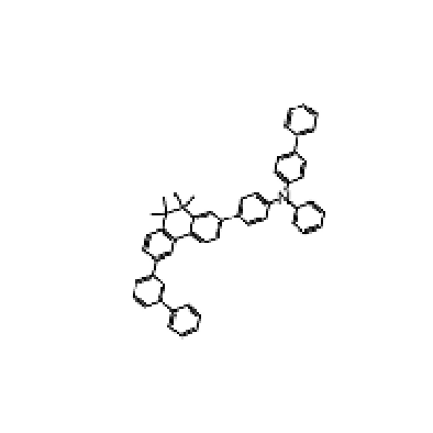 CC1(C)c2ccc(-c3cccc(-c4ccccc4)c3)cc2-c2ccc(-c3ccc(N(c4ccccc4)c4ccc(-c5ccccc5)cc4)cc3)cc2C1(C)C